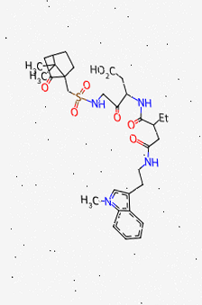 CCC(CC(=O)NCCc1cn(C)c2ccccc12)C(=O)NC(CC(=O)O)C(=O)CNS(=O)(=O)CC12CCC(CC1=O)C2(C)C